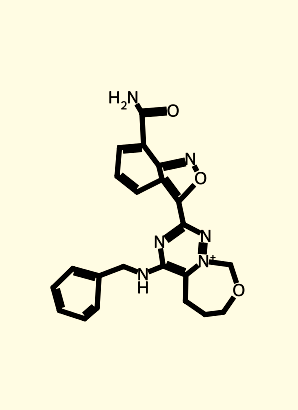 NC(=O)c1cccc2c(-c3nc(NCc4ccccc4)c4[n+](n3)COCCC4)onc12